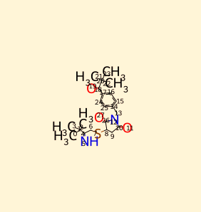 CC(C)(C)C(=N)CSC1CC(=O)N(Cc2ccc(C(=O)C(C)(C)C)cc2)C1=O